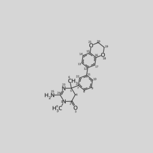 CN1C(=O)CC(C)(c2cccc(-c3ccc4c(c3)OCCO4)c2)N=C1N